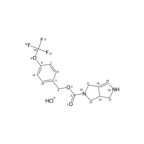 Cl.O=C(OCc1ccc(OC(F)(F)F)cc1)N1CC2=CNCC2C1